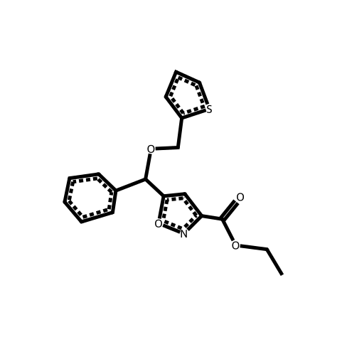 CCOC(=O)c1cc(C(OCc2cccs2)c2ccccc2)on1